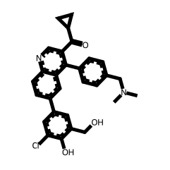 CN(C)Cc1ccc(-c2c(C(=O)C3CC3)cnc3ccc(-c4cc(Cl)c(O)c(CO)c4)cc23)cc1